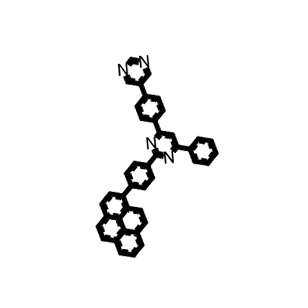 c1ccc(-c2cc(-c3ccc(-c4cncnc4)cc3)nc(-c3ccc(-c4ccc5ccc6cccc7ccc4c5c67)cc3)n2)cc1